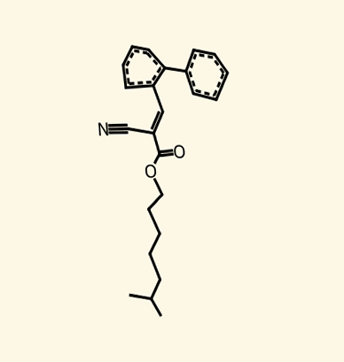 CC(C)CCCCCOC(=O)/C(C#N)=C/c1ccccc1-c1ccccc1